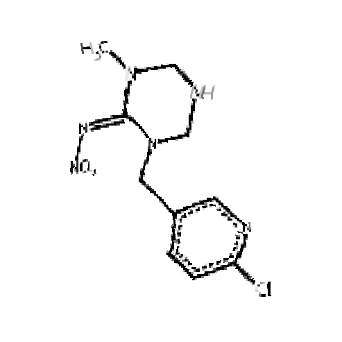 CN1CNCN(Cc2ccc(Cl)nc2)/C1=N\[N+](=O)[O-]